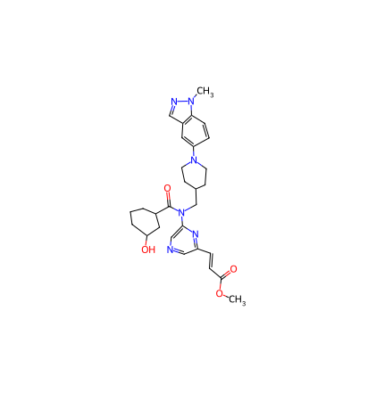 COC(=O)/C=C/c1cncc(N(CC2CCN(c3ccc4c(cnn4C)c3)CC2)C(=O)C2CCCC(O)C2)n1